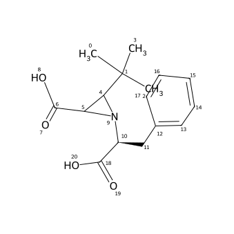 CC(C)(C)C1C(C(=O)O)N1[C@@H](Cc1ccccc1)C(=O)O